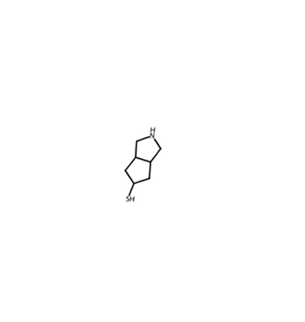 SC1CC2CNCC2C1